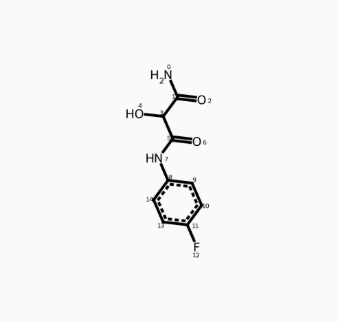 NC(=O)C(O)C(=O)Nc1ccc(F)cc1